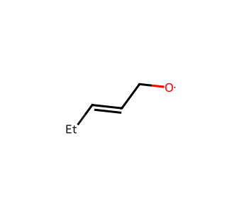 [CH2]CC=CC[O]